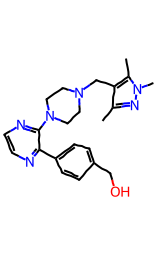 Cc1nn(C)c(C)c1CN1CCN(c2nccnc2-c2ccc(CO)cc2)CC1